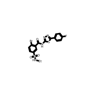 CCNS(=O)(=O)c1ccc(Br)c(C(=O)Nc2nnc(-c3ccc(F)cc3)s2)c1